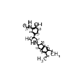 CCc1cc2c(cc1CC)CC(NCC(O)c1ccc(O)c(NC=O)c1)C2